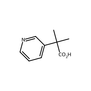 CC(C)(C(=O)O)c1cccnc1